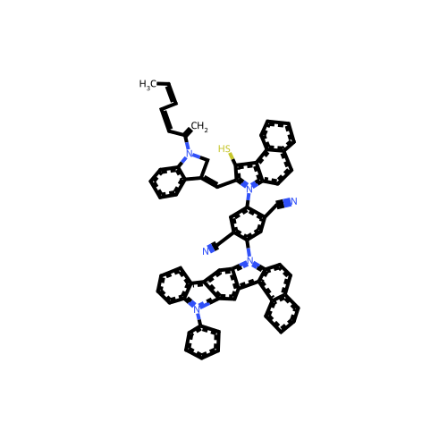 C=C(/C=C\C=C/C)N1C/C(=C\c2c(S)c3c4ccccc4ccc3n2-c2cc(C#N)c(-n3c4cc5c6ccccc6n(-c6ccccc6)c5cc4c4c5ccccc5ccc43)cc2C#N)c2ccccc21